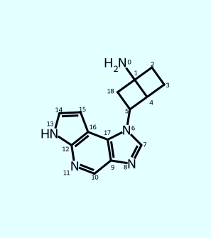 NC12CCC1C(n1cnc3cnc4[nH]ccc4c31)C2